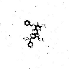 CN(c1cc2c(cn1)c(-c1nc(C(F)(F)F)c(F)c(OCc3ccccc3)c1F)nn2C)C1CCOCC1